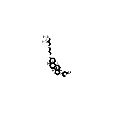 C[C@]12CC[C@H](SCCCOCC(O)CN)C[C@H]1CC[C@@H]1[C@@H]2CC[C@]2(C)[C@@H](C3=CC(=O)OC3)CC[C@]12O